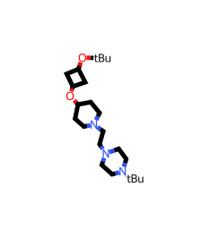 CC(C)(C)OC1CC(OC2CCN(CCN3CCN(C(C)(C)C)CC3)CC2)C1